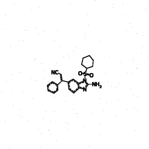 N#CC=C(c1ccccc1)c1ccc2nc(N)n(S(=O)(=O)C3CCCCC3)c2c1